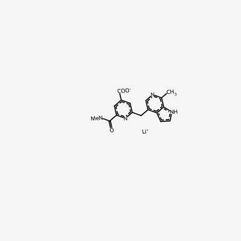 CNC(=O)c1cc(C(=O)[O-])cc(Cc2cnc(C)c3[nH]ccc23)n1.[Li+]